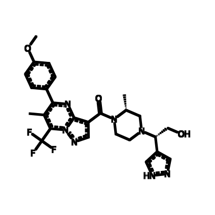 COc1ccc(-c2nc3c(C(=O)N4CCN([C@H](CO)c5cn[nH]c5)C[C@H]4C)cnn3c(C(F)(F)F)c2C)cc1